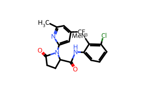 CNc1c(Cl)cccc1NC(=O)C1CCC(=O)N1c1cc(C(F)(F)F)cc(C)n1